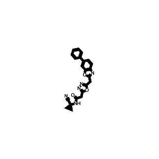 N#CC1(NC(=O)Cc2nnc(Cc3nc4ccc(-c5ccccc5)cc4o3)o2)CC1